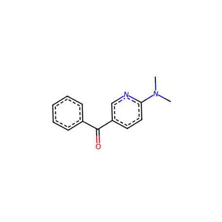 CN(C)c1ccc(C(=O)c2ccccc2)cn1